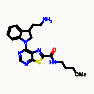 COCCCNC(=O)c1nc2c(N3CC(CCN)c4ccccc43)ncnc2s1